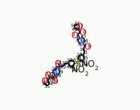 O=C(C(=O)N1CCN(C(=O)/C=C/c2ccc(Sc3ccc(/C=C/C(=O)N4CCN(C(=O)C(=O)c5ccco5)CC4)cc3[N+](=O)[O-])c([N+](=O)[O-])c2)CC1)c1ccco1